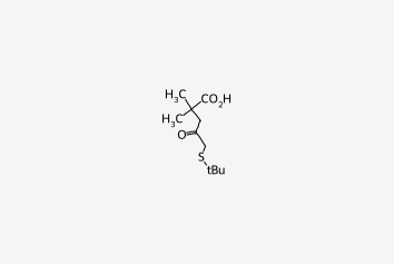 CC(C)(C)SCC(=O)CC(C)(C)C(=O)O